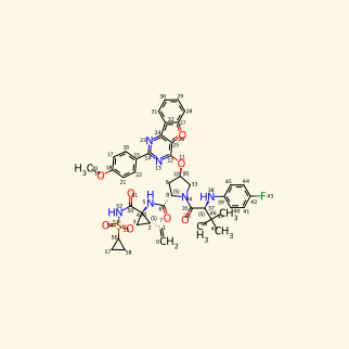 C=C[C@@H]1C[C@]1(NC(=O)[C@@H]1C[C@@H](Oc2nc(-c3ccc(OC)cc3)nc3c2oc2ccccc23)CN1C(=O)[C@@H](Nc1ccc(F)cc1)C(C)(C)C)C(=O)NS(=O)(=O)C1CC1